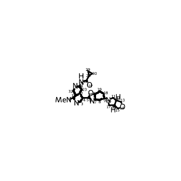 CNc1ncc(-c2nc3cc(N4C[C@H]5COC[C@H]5C4)ccc3o2)c2cc(NC(=O)C3CC3)ncc12